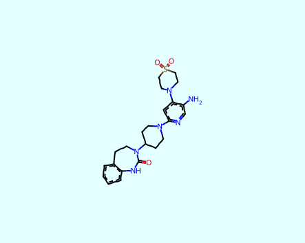 Nc1cnc(N2CCC(N3CCc4ccccc4NC3=O)CC2)cc1N1CCS(=O)(=O)CC1